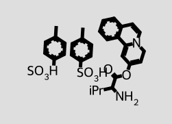 CC(C)C(N)C(=O)OC1=CCN2C=Cc3ccccc3C2=C1.Cc1ccc(S(=O)(=O)O)cc1.Cc1ccc(S(=O)(=O)O)cc1